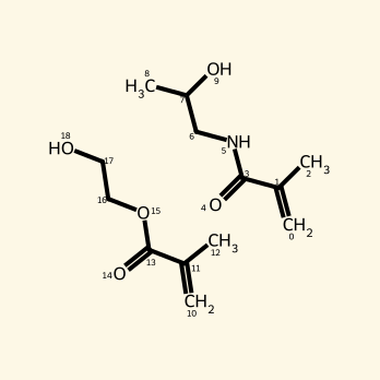 C=C(C)C(=O)NCC(C)O.C=C(C)C(=O)OCCO